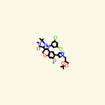 COc1cc2c(cc1-c1cnn(CC3COC(C)(C)O3)c1)-c1c(c(C(=O)N(C)C(C)(C)C)nn1-c1cc(Cl)cc(Cl)c1)CO2